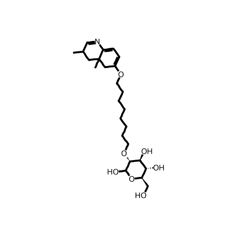 CC1C=NC2=CC=C(OCCCCCCCCO[C@H]3C(O)O[C@H](CO)[C@@H](O)[C@@H]3O)CC2(C)C1